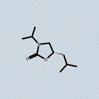 CC(C)C[C@H]1CN(C(C)C)C(=O)O1